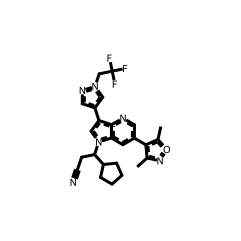 Cc1noc(C)c1-c1cnc2c(-c3cnn(CC(F)(F)F)c3)cn(C(CC#N)C3CCCC3)c2c1